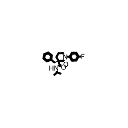 CC(C)NC(=O)[C@]1(Cc2ccccc2)CCCN(c2ccc(F)cc2)C1=O